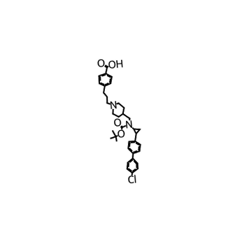 CC(C)(C)OC(=O)N(CC1CCN(CCCc2ccc(C(=O)O)cc2)CC1)C1CC1c1ccc(-c2ccc(Cl)cc2)cc1